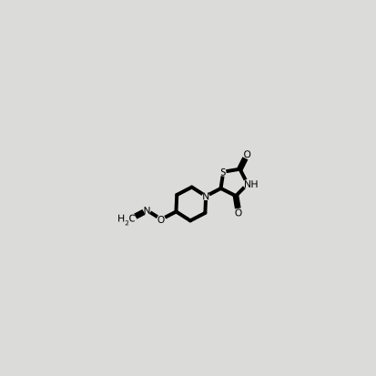 C=NOC1CCN(C2SC(=O)NC2=O)CC1